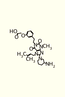 CC(C)=CCn1c(N2CCCC(N)C2)nc2c1c(=O)n(CCc1cccc(OCC(=O)O)c1)c(=O)n2C